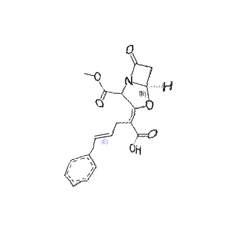 COC(=O)C1C(=C(C/C=C/c2ccccc2)C(=O)O)O[C@@H]2CC(=O)N12